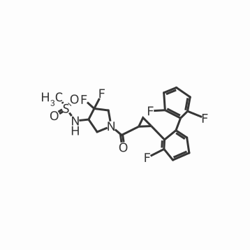 CS(=O)(=O)NC1CN(C(=O)C2CC2c2c(F)cccc2-c2c(F)cccc2F)CC1(F)F